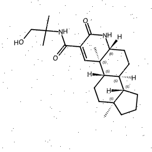 CC(C)(CO)NC(=O)C1=C[C@@]2(C)[C@@H](CC[C@H]3[C@@H]4CCC[C@@]4(C)CC[C@@H]32)NC1=O